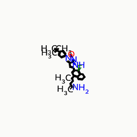 CC(CC[C@H](C)N)c1cc(-c2cc3cn(-c4ccc(C(C)(C)C)cc4)c(=O)nc3[nH]2)c(F)c2c1C=CCC2